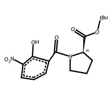 CC(C)(C)OC(=O)[C@H]1CCCN1C(=O)c1cccc([N+](=O)[O-])c1O